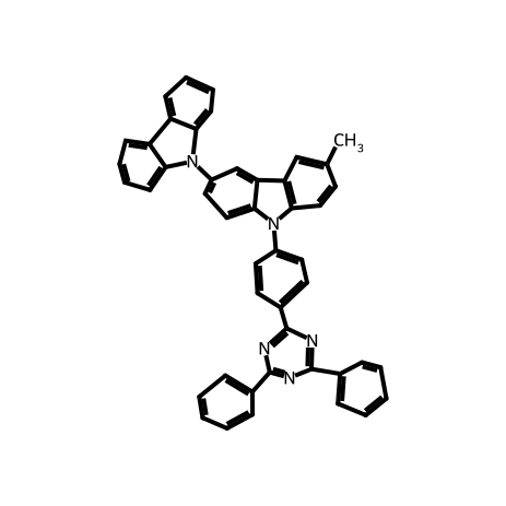 Cc1ccc2c(c1)c1cc(-n3c4ccccc4c4ccccc43)ccc1n2-c1ccc(-c2nc(-c3ccccc3)nc(-c3ccccc3)n2)cc1